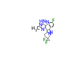 Cc1nc(-c2c(-c3ccc(F)cc3)nn3c2CCC2(C3)CC2(F)F)c2cn[nH]c2n1